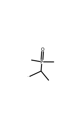 [CH2]C(C)P(C)(C)=O